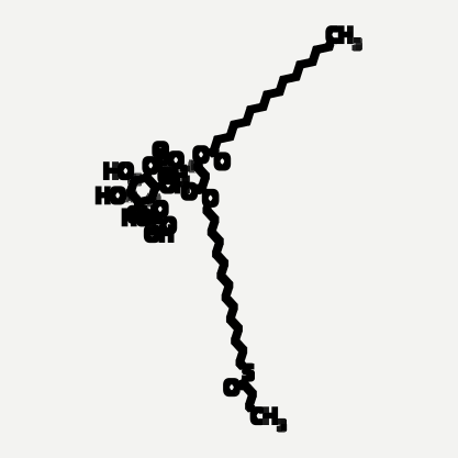 CCCCCCCCCCCCCCCC(=O)O[C@@H](COP(=O)(O)OC1C(O)[C@H](OP(=O)(O)O)C(O)[C@H](O)[C@@H]1O)CC(=O)OCCCCCCCCCCCCCCCSC(=O)CCC